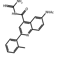 CC(=O)Nc1ccc2nc(-c3ccccc3C)cc(C(=O)NC(=N)N)c2c1